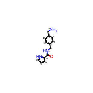 NCc1ccc(CNC(=O)c2ccc[nH]2)cc1